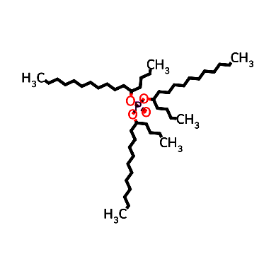 CCCCCCCCCCCC(CCCC)OP(=O)(OC(CCCC)CCCCCCCCCCC)OC(CCCC)CCCCCCCCCCC